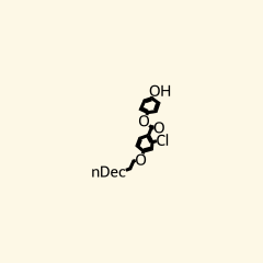 CCCCCCCCCCCCOc1ccc(C(=O)Oc2ccc(O)cc2)c(Cl)c1